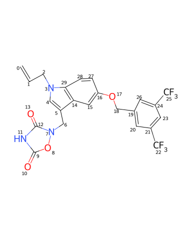 C=CCn1cc(Cn2oc(=O)[nH]c2=O)c2cc(OCc3cc(C(F)(F)F)cc(C(F)(F)F)c3)ccc21